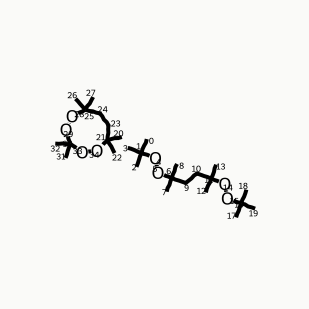 CC(C)(C)OOC(C)(C)CCC(C)(C)OOC(C)(C)C.CC1(C)CCC(C)(C)OOC(C)(C)OO1